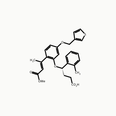 COC(=O)C=C(C)c1ccc(OCc2ccsc2)cc1O[C@@H](CCC(=O)O)c1ccccc1C